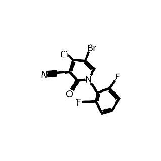 N#Cc1c(Cl)c(Br)cn(-c2c(F)cccc2F)c1=O